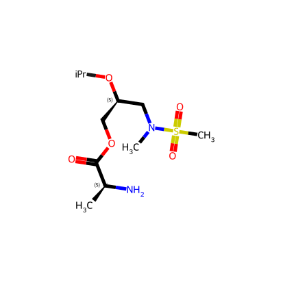 CC(C)O[C@H](COC(=O)[C@H](C)N)CN(C)S(C)(=O)=O